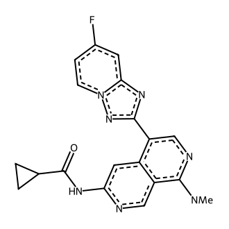 CNc1ncc(-c2nc3cc(F)ccn3n2)c2cc(NC(=O)C3CC3)ncc12